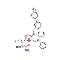 CCCC[C@H](C(N)=O)[C@@H](CC(C)C)C(=O)NC1CN(c2ccccc2)c2ccccc2N(Cc2cccc(-c3ccc(C(F)(F)F)cc3)c2)C1=O